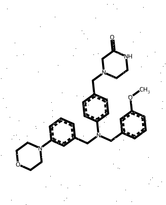 COc1cccc(CN(Cc2cccc(N3CCOCC3)c2)c2ccc(CN3CCNC(=O)C3)cc2)c1